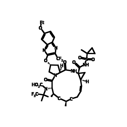 CCOc1ccc2nc(C(F)(F)F)c(O[C@@H]3C[C@H]4C(=O)N[C@]5(C(=O)NS(=O)(=O)C6(C)CC6)C[C@H]5C=CCC[C@@H](C)C[C@@H](C)[C@H](N(C(=O)O)C(C)(C)C(F)(F)F)C(=O)N4C3)nc2c1